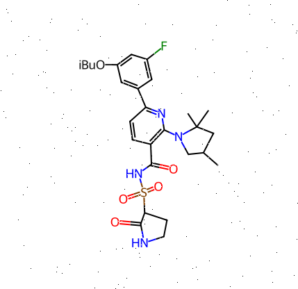 CC(C)COc1cc(F)cc(-c2ccc(C(=O)NS(=O)(=O)C3CCNC3=O)c(N3CC(C)CC3(C)C)n2)c1